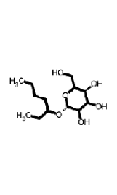 CCCCC(CC)O[C@@H]1OC(CO)[C@@H](O)C(O)C1O